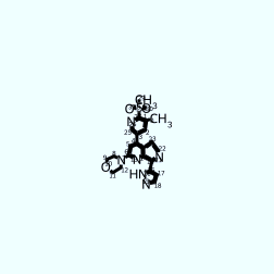 Cc1cc(-c2cc(N3CCOCC3)nc3c(-c4ccn[nH]4)nccc23)cnc1S(C)(=O)=O